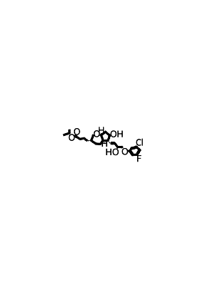 CC(C)OC(=O)CCC[C@H]1CC[C@@H]2[C@@H](C=C[C@@H](O)COc3cc(F)cc(Cl)c3)[C@H](O)C[C@@H]2OC1